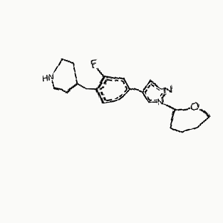 Fc1cc(-c2cnn(C3CCCCO3)c2)ccc1C1CCNCC1